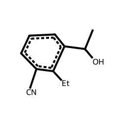 CCc1c(C#N)cccc1[C](C)O